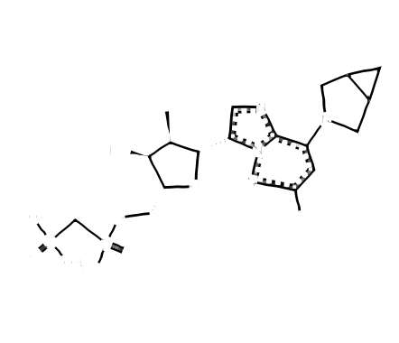 O=P(O)(O)CP(=O)(O)OC[C@H]1O[C@@H](c2cnc3c(N4CC5CC5C4)cc(Cl)nn23)[C@H](O)[C@@H]1O